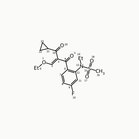 CCOC=C(C(=O)c1ccc(F)cc1N(CC)S(C)(=O)=O)C(=O)C1CC1